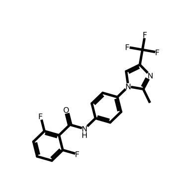 Cc1nc(C(F)(F)F)cn1-c1ccc(NC(=O)c2c(F)cccc2F)cc1